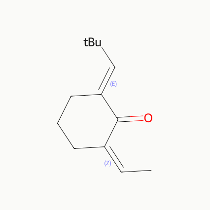 C/C=C1/CCC/C(=C\C(C)(C)C)C1=O